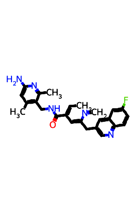 C=N/C(=C\C(=C/C)C(=O)NCc1c(C)cc(N)nc1C)Cc1cnc2ccc(F)cc2c1